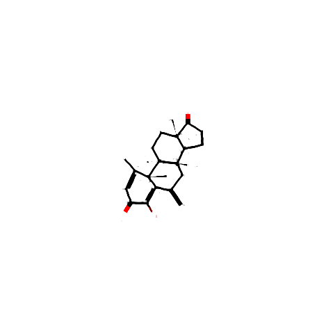 C=C1C[C@@H]2[C@H](CC[C@]3(C)C(=O)CC[C@@H]23)[C@@]2(C)C(C)=CC(=O)C(Br)=C12